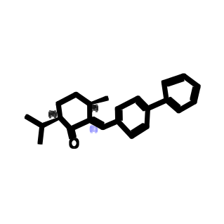 CC(C)[C@H]1CC[C@@H](C)/C(=C\c2ccc(-c3ccccc3)cc2)C1=O